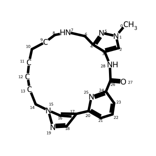 Cn1cc2c(n1)CNCCCCCCCn1cc(cn1)-c1cccc(n1)C(=O)N2